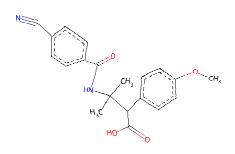 COc1ccc(C(C(=O)O)C(C)(C)NC(=O)c2ccc(C#N)cc2)cc1